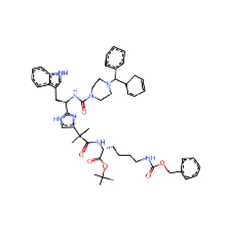 CC(C)(C)OC(=O)[C@@H](CCCCNC(=O)OCc1ccccc1)NC(=O)C(C)(C)c1c[nH]c([C@@H](Cc2c[nH]c3ccccc23)NC(=O)N2CCN(C(c3ccccc3)C3C=CC=CC3)CC2)n1